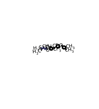 C=C/C(C)=C(C)\C=C(/C)Oc1ccc(C(c2ccc(Oc3ccc(C)c(C)c3)cc2)(C(F)(F)F)C(F)(F)F)cc1